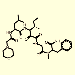 CC[C@H](C)C(NC(=O)C(CC(C)C)NC(=O)CN1CCOCC1)C(=O)C(=O)NCC(=O)N(C)C(Cc1ccccc1)C(N)=O